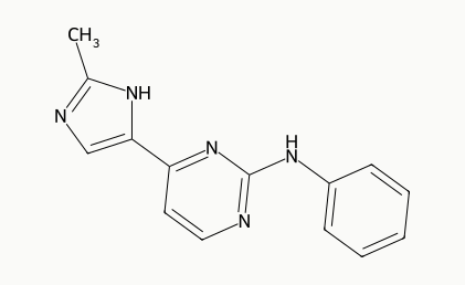 Cc1ncc(-c2ccnc(Nc3ccccc3)n2)[nH]1